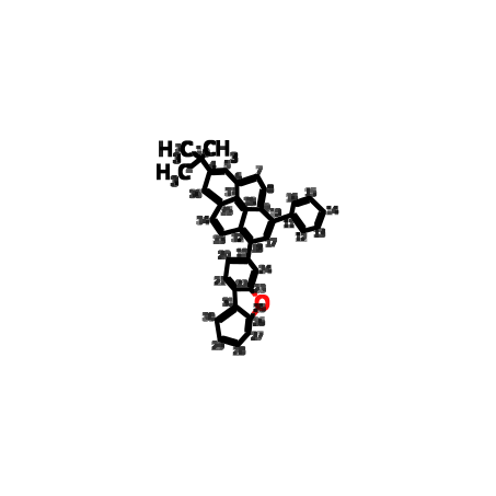 CC(C)(C)c1cc2ccc3c(-c4ccccc4)cc(-c4ccc5c(c4)oc4ccccc45)c4ccc(c1)c2c34